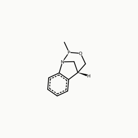 CP1OC[C@H]2CN1c1ccccc12